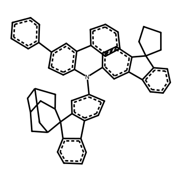 c1ccc(-c2ccc(N(c3ccc4c(c3)-c3ccccc3C43CCCC3)c3ccc4c(c3)C3(c5ccccc5-4)C4CC5CC(C4)CC3C5)c(-c3ccccc3)c2)cc1